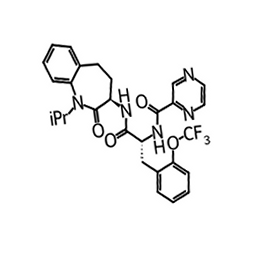 CC(C)N1C(=O)[C@H](NC(=O)[C@@H](Cc2ccccc2OC(F)(F)F)NC(=O)c2cnccn2)CCc2ccccc21